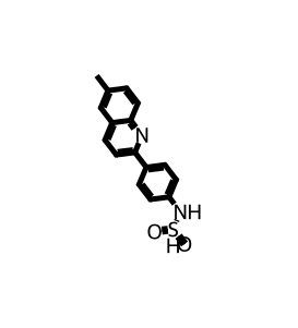 Cc1ccc2nc(-c3ccc(N[SH](=O)=O)cc3)ccc2c1